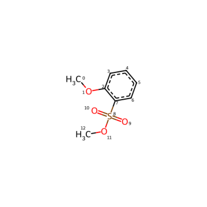 COc1ccccc1S(=O)(=O)OC